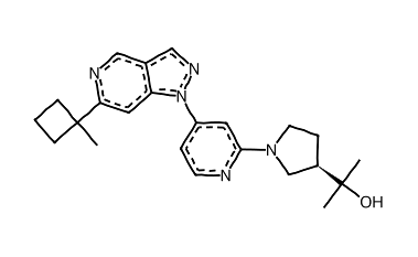 CC1(c2cc3c(cn2)cnn3-c2ccnc(N3CC[C@@H](C(C)(C)O)C3)c2)CCC1